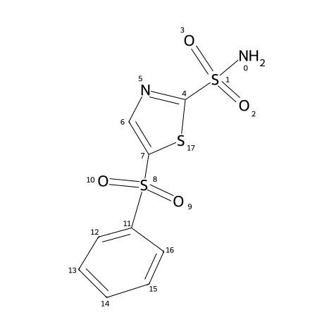 NS(=O)(=O)c1ncc(S(=O)(=O)c2ccccc2)s1